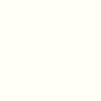 NOC(=O)[C@@H]1CC=CCC1